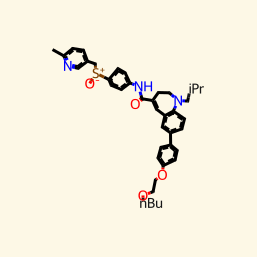 CCCCOCCOc1ccc(-c2ccc3c(c2)C=C(C(=O)Nc2ccc([S+]([O-])Cc4ccc(C)nc4)cc2)CCN3CC(C)C)cc1